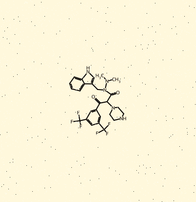 CN(C)N(Cc1c[nH]c2ccccc12)C(=O)C(C(=O)c1cc(C(F)(F)F)cc(C(F)(F)F)c1)N1CCNCC1